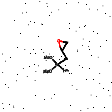 CCC[Si](CC1CO1)(OC)OC